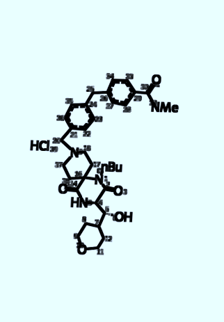 CCCCN1C(=O)[C@@H]([C@H](O)C2CCOCC2)NC(=O)C12CCN(Cc1ccc(Cc3ccc(C(=O)NC)cc3)cc1)CC2.Cl